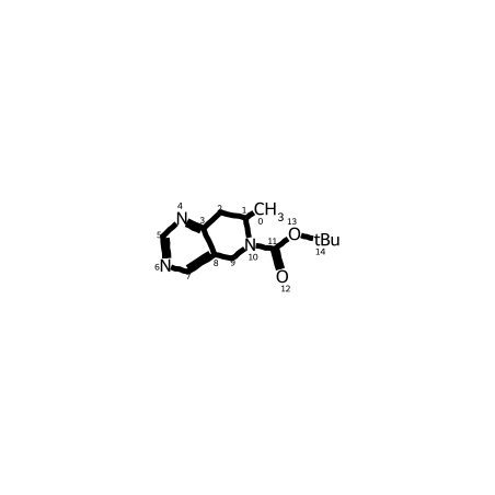 CC1Cc2ncncc2CN1C(=O)OC(C)(C)C